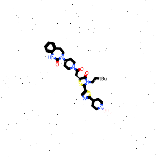 BN1CCC(c2ncc(C3S[C@@H](CC(=O)N4CCC(N5CCc6ccccc6NC5=O)CC4)C(=O)N3CCC(C)(C)C)s2)CC1